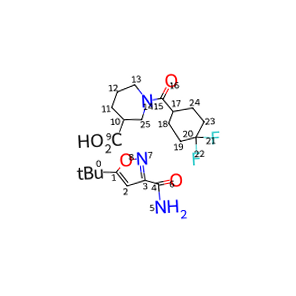 CC(C)(C)c1cc(C(N)=O)no1.O=C(O)C1CCCN(C(=O)C2CCC(F)(F)CC2)C1